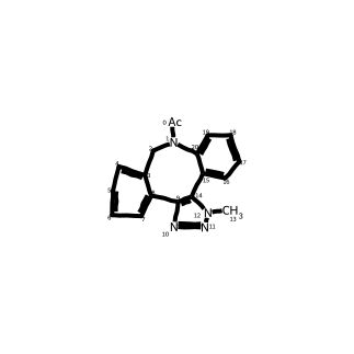 CC(=O)N1Cc2ccccc2-c2nnn(C)c2-c2ccccc21